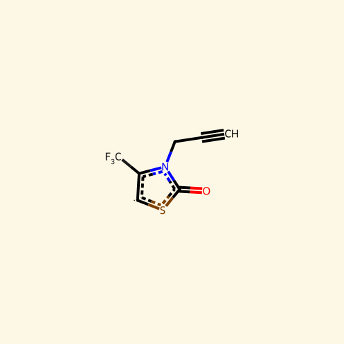 C#CCn1c(C(F)(F)F)[c]sc1=O